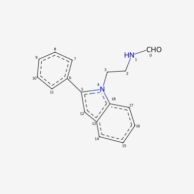 O=CNCCn1c(-c2ccccc2)cc2ccccc21